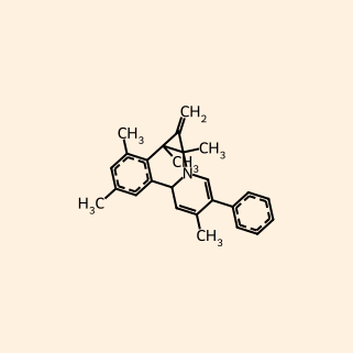 C=C1C2(C)c3c(C)cc(C)cc3C3C=C(C)C(c4ccccc4)=CN3C12C